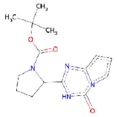 CC(C)(C)OC(=O)N1CCCC1c1nc2cccn2c(=O)[nH]1